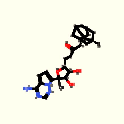 N#C[C@@]1(c2ccc3c(N)ncnn23)O[C@H](CCC(=O)C[C@]23CC4CC(C[C@@H](C4)C2)C3)[C@@H](O)[C@H]1O